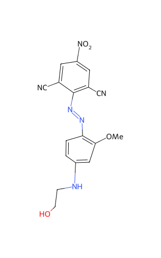 COc1cc(NCCO)ccc1N=Nc1c(C#N)cc([N+](=O)[O-])cc1C#N